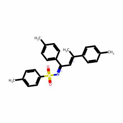 C/C(=C\C(=N\S(=O)(=O)c1ccc(C)cc1)c1ccc(C)cc1)c1ccc(C)cc1